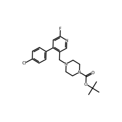 CC(C)(C)OC(=O)N1CCN(Cc2cnc(F)cc2-c2ccc(Cl)cc2)CC1